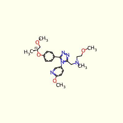 COCCN(C)Cc1nnc(-c2ccc(O[C@@H](C)COC)cc2)n1-c1ccc(OC)nc1